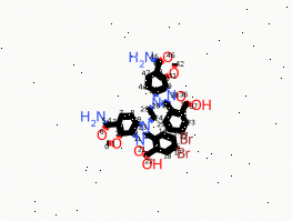 COc1c(C(N)=O)ccc2c1nc(-c1ccc(Br)cc1C(=O)O)n2CCn1c(-c2ccc(Br)cc2C(=O)O)nc2c(OC)c(C(N)=O)ccc21